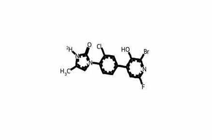 [2H]n1c(C)cn(-c2ccc(-c3cc(F)nc(Br)c3O)cc2Cl)c1=O